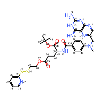 CN(Cc1cnc2nc(N)[nH]c(=N)c2n1)c1ccc(C(=O)N[C@@H](CCC(=O)OCCSSc2ccccn2)C(=O)OC(C)(C)C)cc1